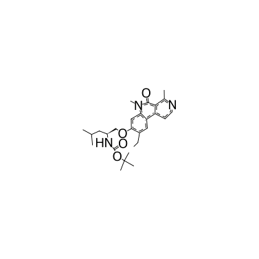 CCc1cc2c3ccnc(C)c3c(=O)n(C)c2cc1OC[C@H](CC(C)C)NC(=O)OC(C)(C)C